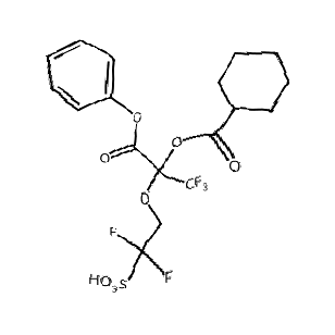 O=C(OC(OCC(F)(F)S(=O)(=O)O)(C(=O)Oc1ccccc1)C(F)(F)F)C1CCCCC1